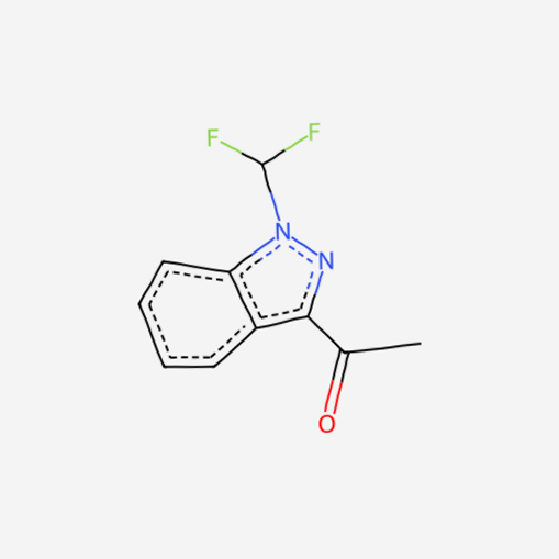 CC(=O)c1nn(C(F)F)c2ccccc12